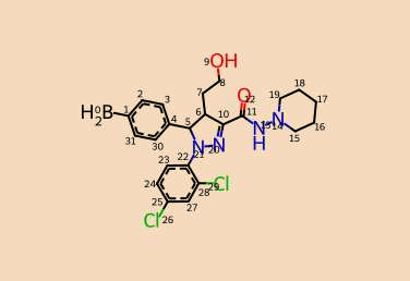 Bc1ccc(C2C(CCO)C(C(=O)NN3CCCCC3)=NN2c2ccc(Cl)cc2Cl)cc1